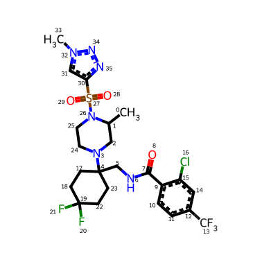 CC1CN(C2(CNC(=O)c3ccc(C(F)(F)F)cc3Cl)CCC(F)(F)CC2)CCN1S(=O)(=O)c1cn(C)nn1